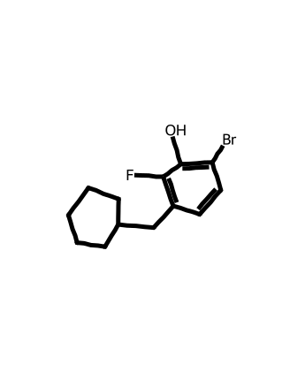 Oc1c(Br)ccc(CC2CCCCC2)c1F